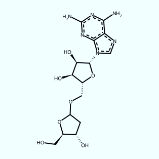 Nc1nc(N)c2ncn([C@@H]3O[C@H](COC4C[C@H](O)[C@@H](CO)O4)[C@@H](O)[C@H]3O)c2n1